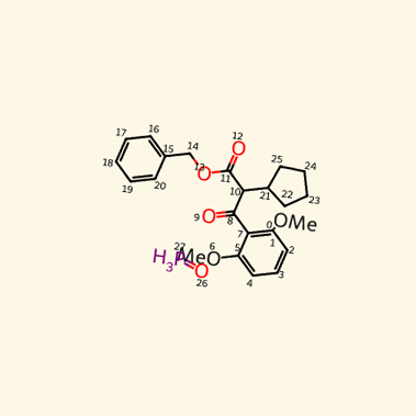 COc1cccc(OC)c1C(=O)C(C(=O)OCc1ccccc1)C1CCCC1.O=[PH3]